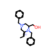 C/C=C1\CN(Cc2ccccc2)CC(CO)N1Cc1ccccc1